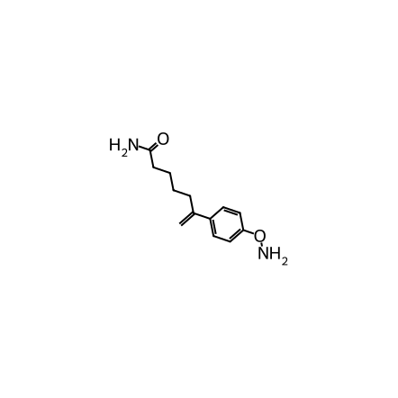 C=C(CCCCC(N)=O)c1ccc(ON)cc1